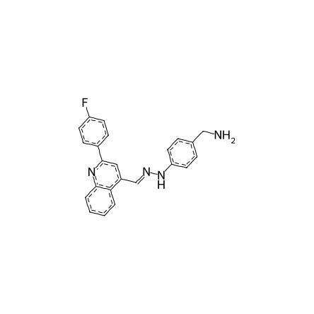 NCc1ccc(N/N=C/c2cc(-c3ccc(F)cc3)nc3ccccc23)cc1